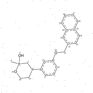 CC1(O)CC(c2cccc(OCc3ccc4ccccc4c3)c2)CCO1